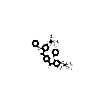 CC(C)(C)Oc1ccc(C(=O)c2ccc(C(=O)c3ccc(OC(C)(C)C)cc3Oc3ccccc3)cc2)c(Oc2ccccc2)c1